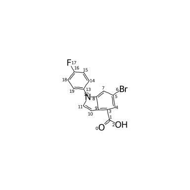 O=C(O)c1cc(Br)cc2c1ccn2-c1ccc(F)cc1